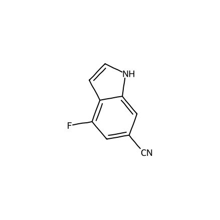 N#Cc1cc(F)c2cc[nH]c2c1